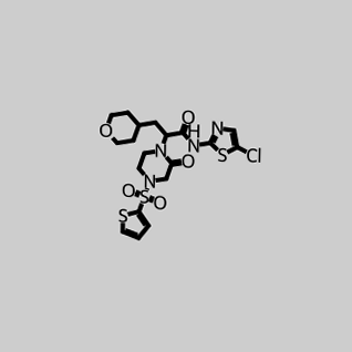 O=C(Nc1ncc(Cl)s1)C(CC1CCOCC1)N1CCN(S(=O)(=O)c2cccs2)CC1=O